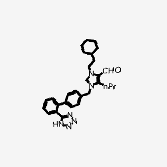 CCCC1=C(C=O)N(CCC2CCCCC2)CN1Cc1ccc(-c2ccccc2-c2nnn[nH]2)cc1